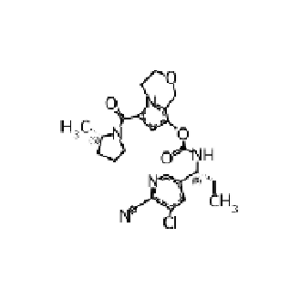 CC[C@@H](NC(=O)Oc1cc(C(=O)N2CCC[C@@H]2C)n2c1COCC2)c1cnc(C#N)c(Cl)c1